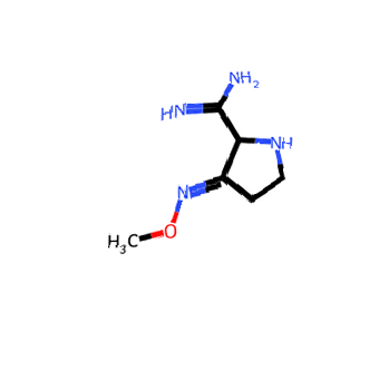 CON=C1CCNC1C(=N)N